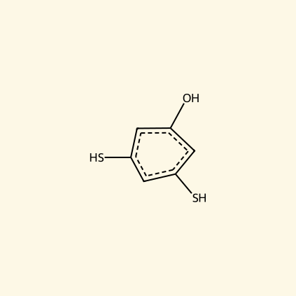 Oc1cc(S)cc(S)c1